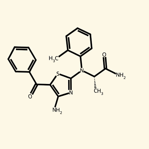 Cc1ccccc1N(c1nc(N)c(C(=O)c2ccccc2)s1)[C@@H](C)C(N)=O